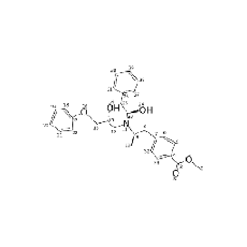 COC(=O)c1ccc(C[C@@H](C)N(C[C@@H](O)COc2ccccc2)[C@H](O)Cc2ccccc2)cc1